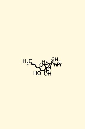 C=CCC[C@H]1O[C@@H]2SC(N(C)CCC)=N[C@@H]2[C@@H](O)[C@@H]1O